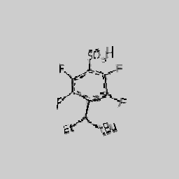 CCC(c1c(F)c(F)c(S(=O)(=O)O)c(F)c1F)C(C)(C)C